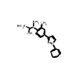 Cc1cc(-c2ccn(-c3ccccc3)n2)ccc1N(N)C(C)C(=O)O